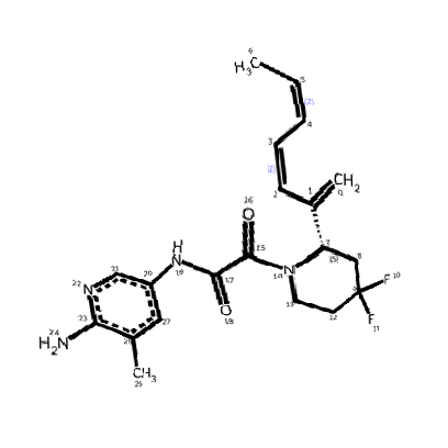 C=C(/C=C\C=C/C)[C@@H]1CC(F)(F)CCN1C(=O)C(=O)Nc1cnc(N)c(C)c1